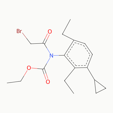 CCOC(=O)N(C(=O)CBr)c1c(CC)ccc(C2CC2)c1CC